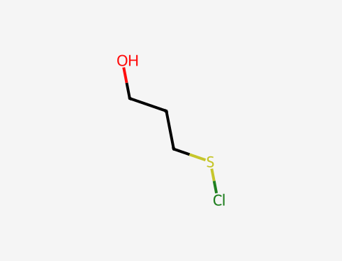 OCCCSCl